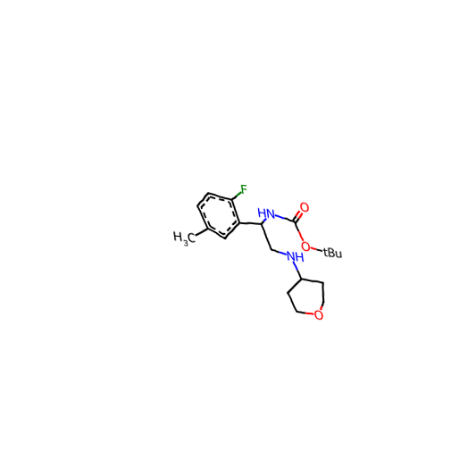 Cc1ccc(F)c(C(CNC2CCOCC2)NC(=O)OC(C)(C)C)c1